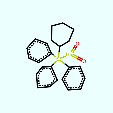 O=[SH](=O)[SH](c1ccccc1)(c1ccccc1)(c1ccccc1)C1CCCCC1